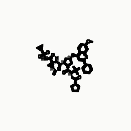 C=C[C@@H]1C[C@]1(NC(=O)[C@@H]1C[C@@H](Oc2cc(-c3ccccc3)nc3cc(OC)ccc23)CN1C(=O)[C@@H](CC(=O)N1CCCC1)C(C)(C)C)C(=O)NS(=O)(=O)C1CC1